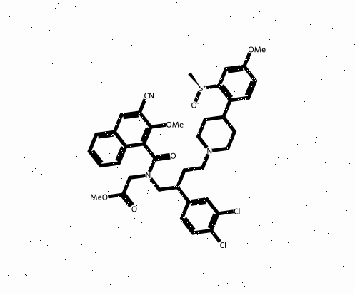 COC(=O)CN(CC(CCN1CCC(c2ccc(OC)cc2[S@+](C)[O-])CC1)c1ccc(Cl)c(Cl)c1)C(=O)c1c(OC)c(C#N)cc2ccccc12